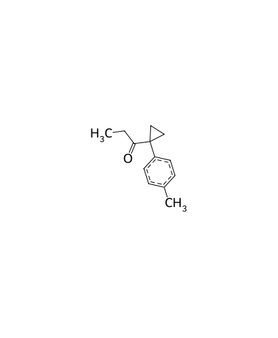 CCC(=O)C1(c2ccc(C)cc2)CC1